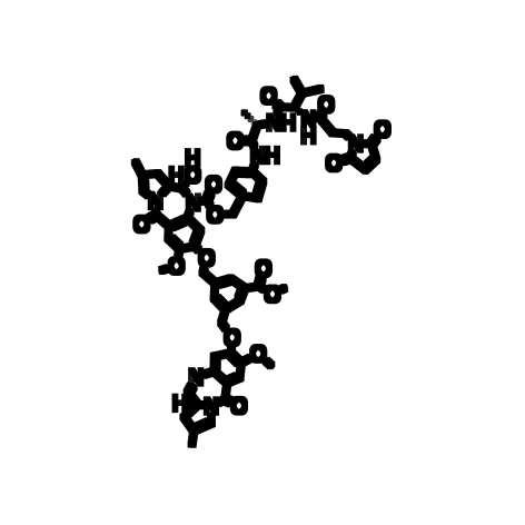 COC(=O)c1cc(COc2cc3c(cc2OC)C(=O)N2C=C(C)C[C@H]2C=N3)cc(COc2cc3c(cc2OC)C(=O)N2C=C(C)C[C@H]2[C@H](O)N3C(=O)OCc2ccc(NC(=O)[C@H](C)NC(=O)[C@@H](NC(=O)CCN3C(=O)C=CC3=O)C(C)C)cc2)c1